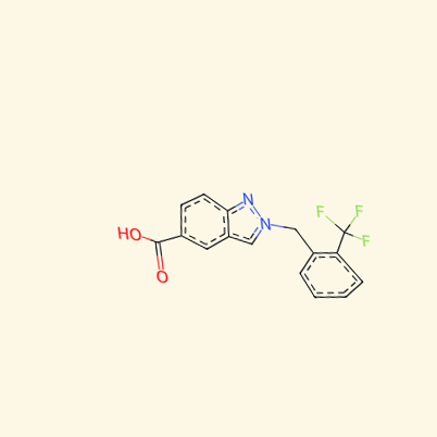 O=C(O)c1ccc2nn(Cc3ccccc3C(F)(F)F)cc2c1